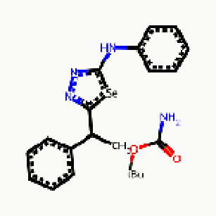 CC(C)(C)OC(N)=O.CC(c1ccccc1)c1nnc(Nc2ccccc2)[se]1